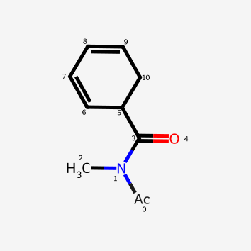 CC(=O)N(C)C(=O)C1C=CC=CC1